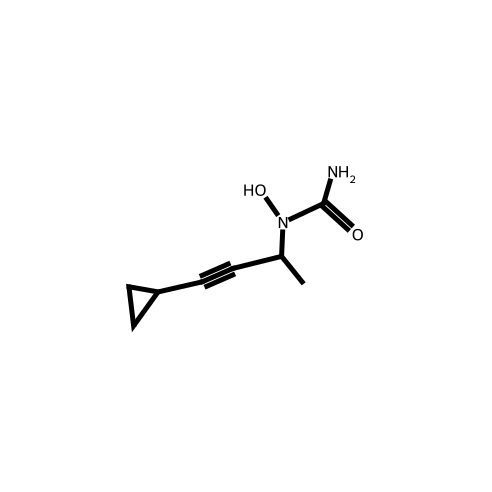 CC(C#CC1CC1)N(O)C(N)=O